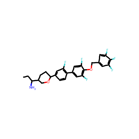 CCC(N)C1CCC(c2ccc(-c3cc(F)c(OCc4cc(F)c(F)c(F)c4)c(F)c3)c(F)c2)OC1